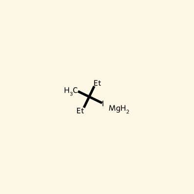 CCC(C)(I)CC.[MgH2]